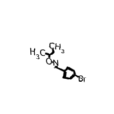 CCC(C)O/N=[C]/c1ccc(Br)cc1